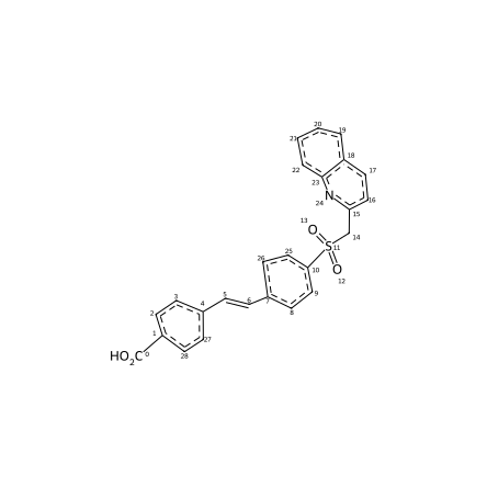 O=C(O)c1ccc(C=Cc2ccc(S(=O)(=O)Cc3ccc4ccccc4n3)cc2)cc1